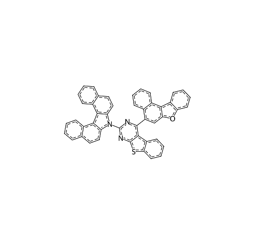 c1ccc2c(c1)ccc1c2c2c3ccccc3ccc2n1-c1nc(-c2cc3oc4ccccc4c3c3ccccc23)c2c(n1)sc1ccccc12